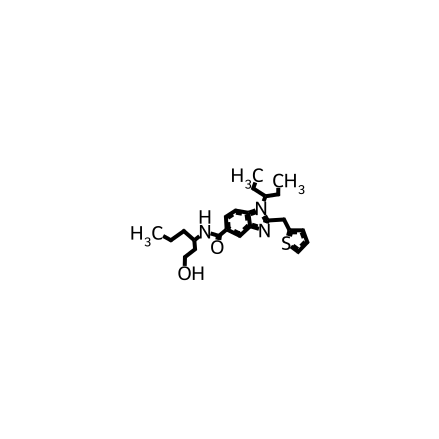 CCCC(CCO)NC(=O)c1ccc2c(c1)nc(Cc1cccs1)n2C(CC)CC